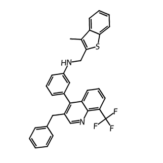 Cc1c(CNc2cccc(-c3c(Cc4ccccc4)cnc4c(C(F)(F)F)cccc34)c2)sc2ccccc12